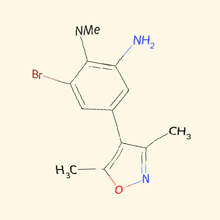 CNc1c(N)cc(-c2c(C)noc2C)cc1Br